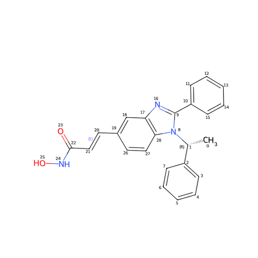 C[C@H](c1ccccc1)n1c(-c2ccccc2)nc2cc(/C=C/C(=O)NO)ccc21